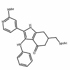 CNc1cc(-c2[nH]c3c(c2Nc2ccccc2)C(=O)CC(CNC(C)=O)C3)ccn1